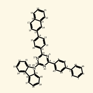 c1ccc(-c2ccc(-c3nc(-c4ccc(-c5ccc6ccccc6c5)cc4)nc(-n4c5ccccc5c5ccccc54)n3)cc2)cc1